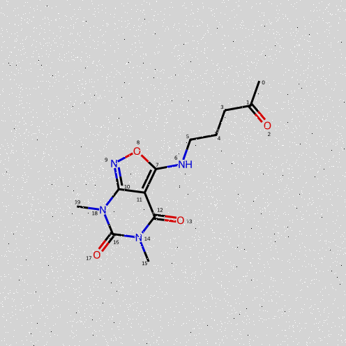 CC(=O)CCCNc1onc2c1c(=O)n(C)c(=O)n2C